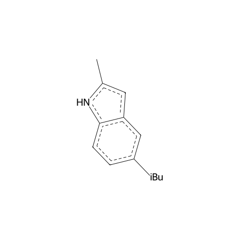 CCC(C)c1ccc2[nH]c(C)cc2c1